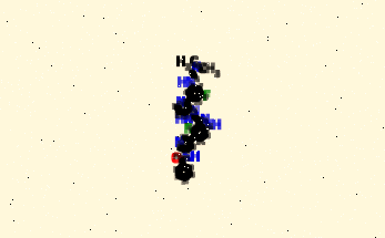 CN(C)CCNc1cc(F)cc(-c2nccc3[nH]c(-c4n[nH]c5ccc(-c6cncc(NC(=O)c7ccccc7)c6)c(F)c45)nc23)c1